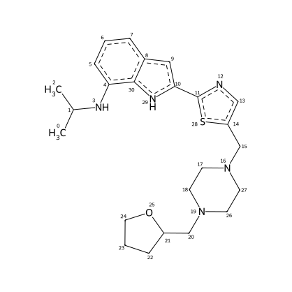 CC(C)Nc1cccc2cc(-c3ncc(CN4CCN(CC5CCCO5)CC4)s3)[nH]c12